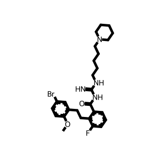 COc1ccc(Br)cc1CCc1c(F)cccc1C(=O)NC(=N)NCCCCCN1CCCCC1